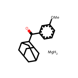 COc1cccc(C(=O)C2C3CC4CC(C3)CC2C4)c1.[MgH2]